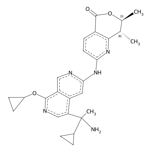 C[C@@H]1OC(=O)c2ccc(Nc3cc4c(C(C)(N)C5CC5)cnc(OC5CC5)c4cn3)nc2[C@H]1C